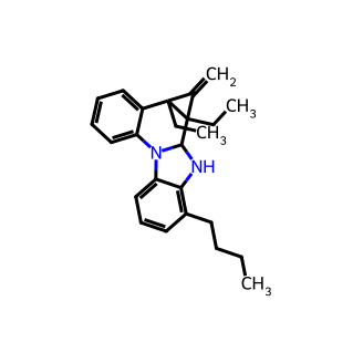 C=C1C2(CC)c3ccccc3N3c4cccc(CCCC)c4NC3C12CC